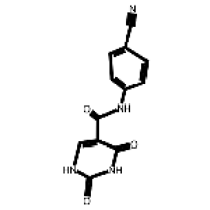 N#Cc1ccc(NC(=O)c2c[nH]c(=O)[nH]c2=O)cc1